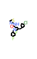 O=C(Nc1nccs1)c1cc(Cc2ccc(Cl)cc2)cn1Cc1ccc(F)cc1F